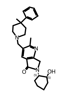 Cc1nc2c(cc1CN1CCC(C)(c3ccccc3)CC1)C(=O)N([C@H]1CCCC[C@@H]1O)C2